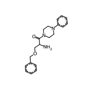 NC(COCc1ccccc1)C(=O)N1CCN(c2ccccc2)CC1